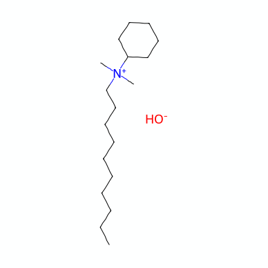 CCCCCCCCCC[N+](C)(C)C1CCCCC1.[OH-]